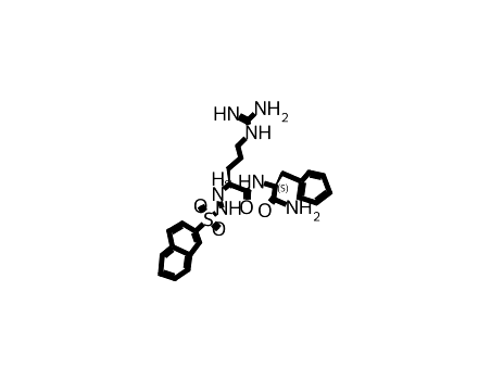 N=C(N)NCCC[C@H](NNS(=O)(=O)c1ccc2ccccc2c1)C(=O)N[C@@H](Cc1ccccc1)C(N)=O